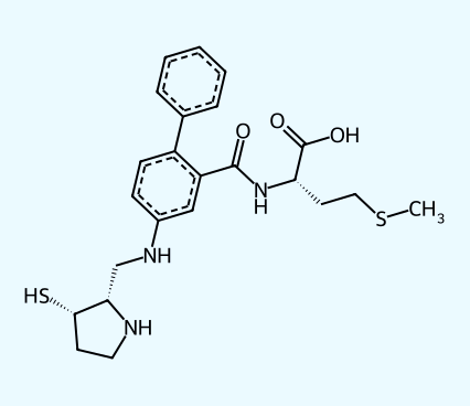 CSCC[C@H](NC(=O)c1cc(NC[C@@H]2NCC[C@@H]2S)ccc1-c1ccccc1)C(=O)O